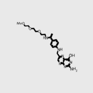 C=C(NCCOCCOCCOC)c1ccc(NCc2cnc3nc(N)nc(O)c3n2)cc1